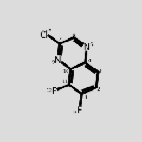 Fc1ccc2ncc(Cl)nc2c1F